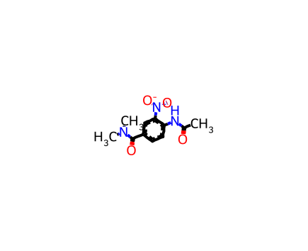 CC(=O)Nc1ccc(C(=O)N(C)C)cc1[N+](=O)[O-]